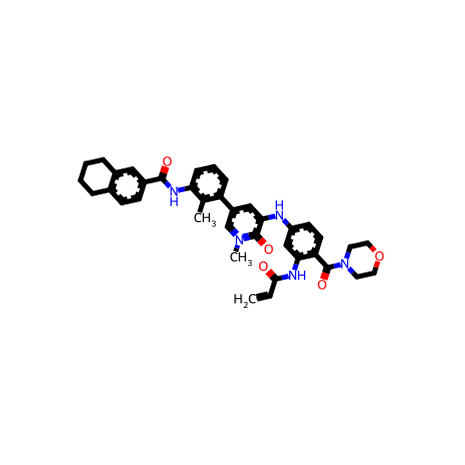 C=CC(=O)Nc1cc(Nc2cc(-c3cccc(NC(=O)c4ccc5c(c4)CCCC5)c3C)cn(C)c2=O)ccc1C(=O)N1CCOCC1